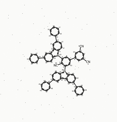 N#Cc1cc(C#N)cc(-c2cc(-n3c4ccc(-c5ccccc5)cc4c4cc(-c5ccccc5)ccc43)c(C#N)c(-n3c4ccc(-c5ccccc5)cc4c4cc(-c5ccccc5)ccc43)c2)c1